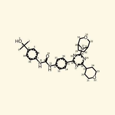 CC(C)(O)c1ccc(NC(=O)Nc2ccc(-c3nc(C4CCOCC4)nc(N4C5CCC4COC5)n3)cc2)cc1